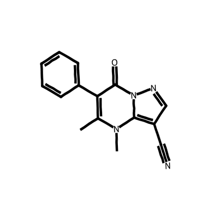 Cc1c(-c2ccccc2)c(=O)n2ncc(C#N)c2n1C